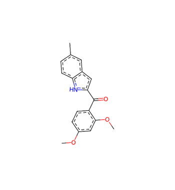 COc1ccc(C(=O)c2cc3cc(C)ccc3[nH]2)c(OC)c1